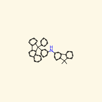 CC1(C)c2ccccc2-c2cc(Nc3cccc(C4(c5ccccc5)c5ccccc5-c5ccc6ccccc6c54)c3)ccc21